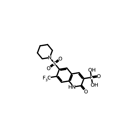 O=c1[nH]c2cc(C(F)(F)F)c(S(=O)(=O)N3CCCCC3)cc2cc1P(=O)(O)O